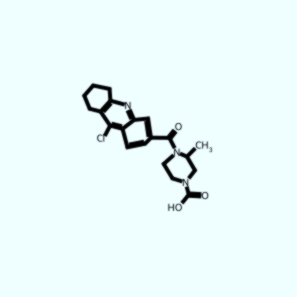 CC1CN(C(=O)O)CCN1C(=O)c1ccc2c(Cl)c3c(nc2c1)CCCC3